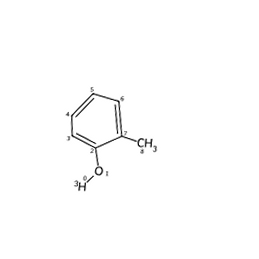 [3H]Oc1ccccc1C